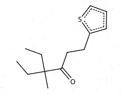 CCC(C)(CC)C(=O)CCc1cccs1